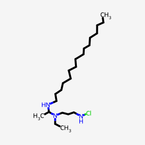 CCCCCCCCCCCCCCCCNC(C)N(CC)CCCNCl